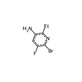 CCc1nc(Br)c(F)cc1N